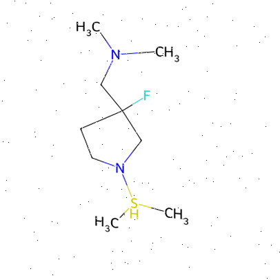 CN(C)CC1(F)CCN([SH](C)C)C1